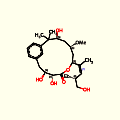 CC[C@H](/C=C(/C)[C@@H]1C[C@@H](OC)C[C@H](O)C(C)(C)c2cccc(c2)C[C@H](O)[C@@H](O)C(=O)O1)CO